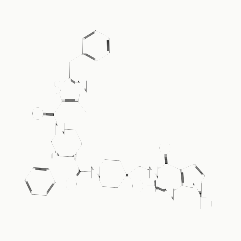 CCn1ccc2c(=O)n(CC3(O)CCN(C(=O)[C@@H]4CCN(C(=O)c5sc(Cc6ccccc6)nc5C)C[C@H]4c4ccccc4)CC3)cnc21